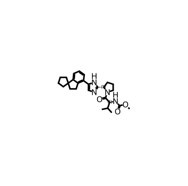 COC(=O)N[C@H](C(=O)N1CCC[C@H]1c1ncc(-c2cccc3c2CCC32CCCC2)[nH]1)C(C)C